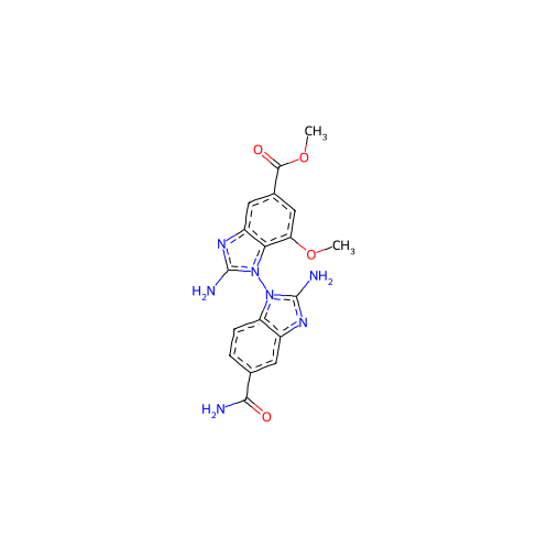 COC(=O)c1cc(OC)c2c(c1)nc(N)n2-n1c(N)nc2cc(C(N)=O)ccc21